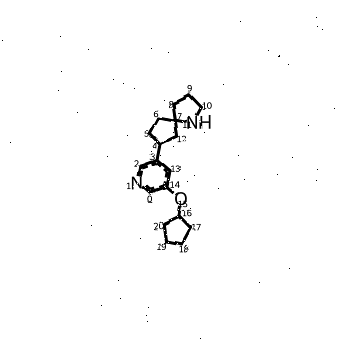 c1ncc(C2CCC3(CCCN3)C2)cc1OC1CCCC1